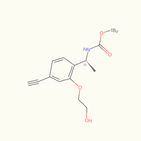 C#Cc1ccc([C@H](C)NC(=O)OC(C)(C)C)c(OCCO)c1